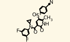 Cc1[nH]c(=O)c(C(=O)N(c2cc(F)cc(F)c2)C2CC2)cc1[S+]([O-])c1ccc(C#N)cc1